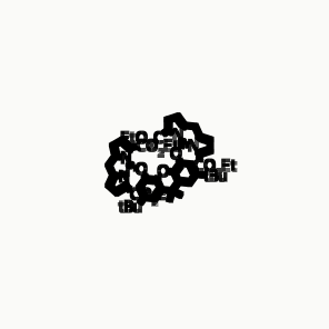 CCOC(=O)c1ccc2n1P(Oc1cc(C(C)(C)C)cc3c1Oc1c(OP4n5c(ccc5C(=O)OCC)Cc5ccc(C(=O)OCC)n54)cc(C(C)(C)C)cc1C3(C)C)n1c(ccc1C(=O)OCC)C2